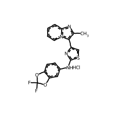 Cc1nc2ccccn2c1-c1csc(Nc2ccc3c(c2)OC(F)(F)O3)n1.Cl